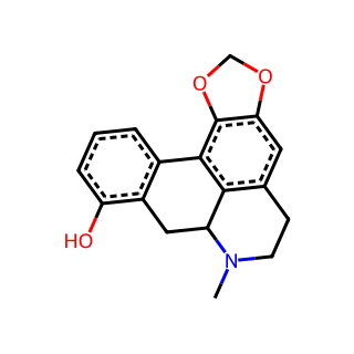 CN1CCc2cc3c(c4c2C1Cc1c(O)cccc1-4)OCO3